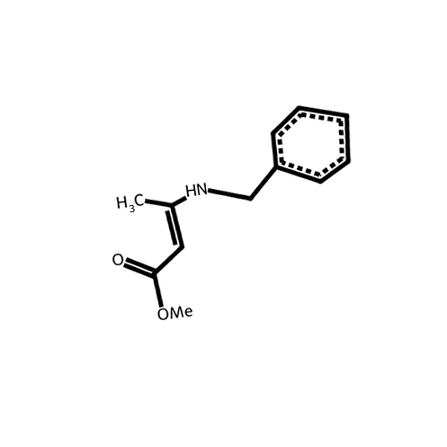 COC(=O)C=C(C)NCc1ccccc1